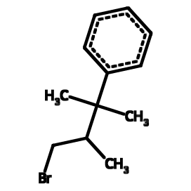 CC(CBr)C(C)(C)c1ccccc1